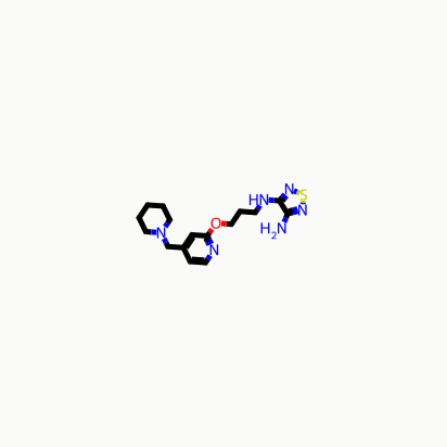 Nc1nsnc1NCCCOc1cc(CN2CCCCC2)ccn1